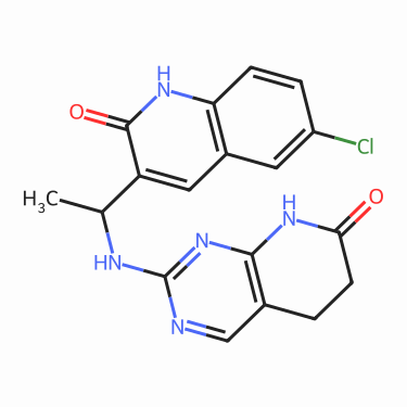 CC(Nc1ncc2c(n1)NC(=O)CC2)c1cc2cc(Cl)ccc2[nH]c1=O